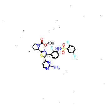 CC(C)(C)OC(=O)N1CCCC1c1nc(-c2cccc(NS(=O)(=O)c3cc(F)ccc3F)c2F)c(-c2ccnc(N)n2)s1